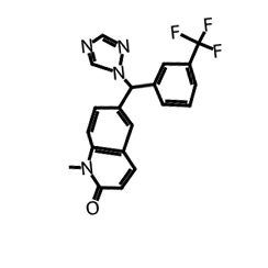 Cn1c(=O)ccc2cc(C(c3cccc(C(F)(F)F)c3)n3cncn3)ccc21